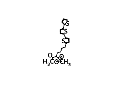 CC(=O)C(CCCCc1ccc(-c2ccc(-c3cccs3)s2)s1)S(C)(=O)=O